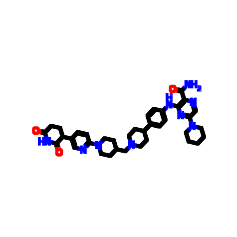 NC(=O)c1ncc(N2CCCCC2)nc1Nc1ccc(C2CCN(CC3CCN(c4ccc(C5CCC(=O)NC5=O)cn4)CC3)CC2)cc1